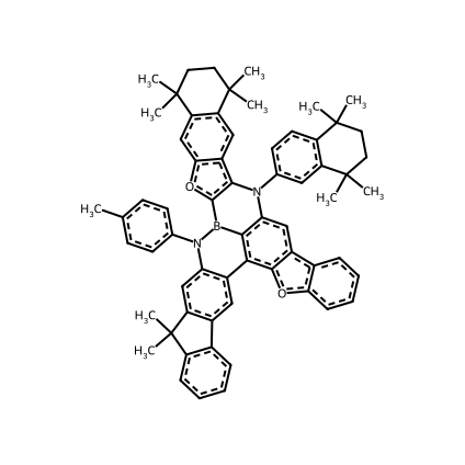 Cc1ccc(N2B3c4oc5cc6c(cc5c4N(c4ccc5c(c4)C(C)(C)CCC5(C)C)c4cc5c(oc7ccccc75)c(c43)-c3cc4c(cc32)C(C)(C)c2ccccc2-4)C(C)(C)CCC6(C)C)cc1